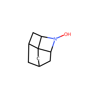 ON1C2CC3CC4CC1C42C3